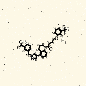 Cc1c(OCCCC(=O)N2CCCc3c(-c4cnn(Cc5cccc(C(=O)O)c5)c4)cccc32)cccc1C(F)(F)F